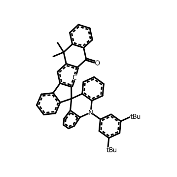 CC(C)(C)c1cc(N2c3ccccc3C3(c4ccccc4-c4cc5c(cc43)C(=O)c3ccccc3C5(C)C)c3ccccc32)cc(C(C)(C)C)c1